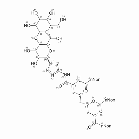 CCCCCCCCCC(=O)N[C@H](CSC[C@@H](COC(=O)CCCCCCCCC)OC(=O)CCCCCCCCC)C(=O)Nc1cn([C@@H]2OC(CO)C(OC3OC(CO)C(O)C(O)C3O)C(O)C2O)nn1